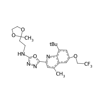 Cc1cc(-c2nnc(NCCC3(C)OCCO3)o2)nc2c(C(C)(C)C)cc(OCC(F)(F)F)cc12